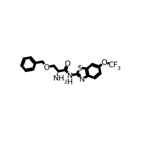 N[C@H](COCc1ccccc1)C(=O)Nc1nc2ccc(OC(F)(F)F)cc2s1